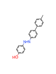 Cc1ccc(-c2ccc(N=Nc3ccc(O)cc3)cc2)cc1